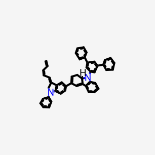 C=C/C=C\C=C1/CN(c2ccccc2)c2ccc(C3=CC[C@H]4C(=C3)c3ccccc3N4c3cc(-c4ccccc4)cc(-c4ccccc4)c3)cc21